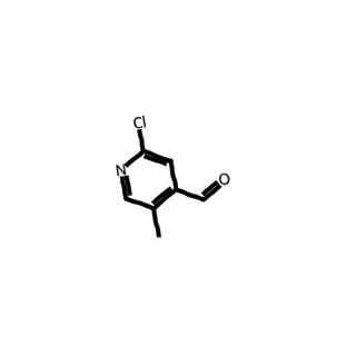 Cc1cnc(Cl)cc1C=O